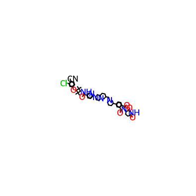 CC1(C)[C@H](NC(=O)c2ccc(N3CCN4CC(CN5CCCC(c6ccc7c(c6)C(=O)N(C6CCC(=O)NC6=O)C7=O)C5)CCC4C3)nc2)C(C)(C)[C@H]1Oc1ccc(C#N)c(Cl)c1